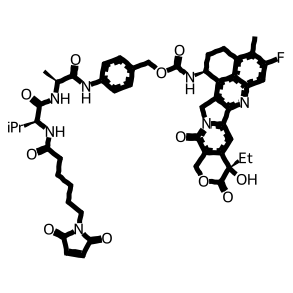 CC[C@@]1(O)C(=O)OCc2c1cc1n(c2=O)Cc2c-1nc1cc(F)c(C)c3c1c2[C@@H](NC(=O)OCc1ccc(NC(=O)[C@H](C)NC(=O)[C@@H](NC(=O)CCCCCN2C(=O)C=CC2=O)C(C)C)cc1)CC3